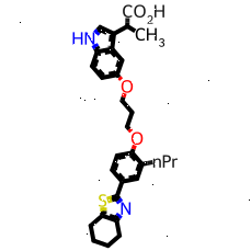 CCCc1cc(-c2nc3c(s2)CCCC3)ccc1OCCCOc1ccc2[nH]cc(C(C)C(=O)O)c2c1